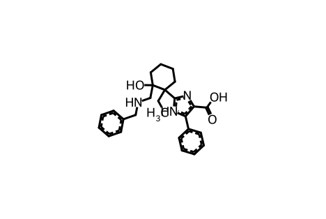 CCC1(c2nc(C(=O)O)c(-c3ccccc3)[nH]2)CCCCC1(O)CNCc1ccccc1